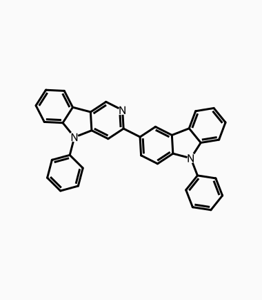 c1ccc(-n2c3ccccc3c3cc(-c4cc5c(cn4)c4ccccc4n5-c4ccccc4)ccc32)cc1